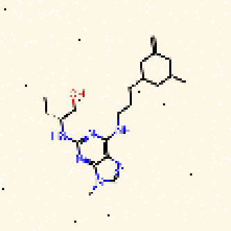 C=C1CC(C)CC(CCCNc2nc(N[C@H](CC)CO)nc3c2ncn3C)C1